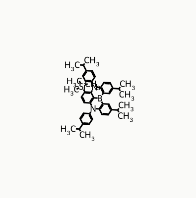 CC(C)c1ccc(N2c3ccc(C(C)C)cc3B3c4cc(C(C)C)ccc4N(c4ccc(C(C)C)cc4)c4c([Si](C)(C)C)ccc2c43)cc1